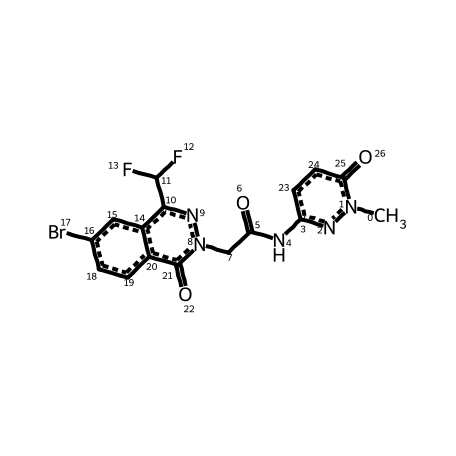 Cn1nc(NC(=O)Cn2nc(C(F)F)c3cc(Br)ccc3c2=O)ccc1=O